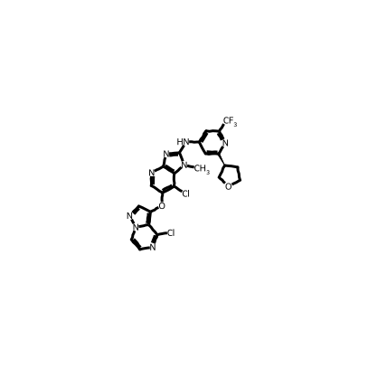 Cn1c(Nc2cc([C@H]3CCOC3)nc(C(F)(F)F)c2)nc2ncc(Oc3cnn4ccnc(Cl)c34)c(Cl)c21